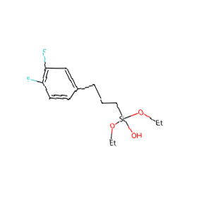 CCO[Si](O)(CCCc1ccc(F)c(F)c1)OCC